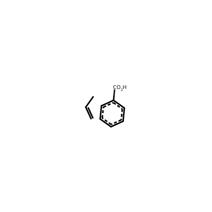 C=CC.O=C(O)c1ccccc1